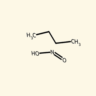 CCCC.O=NO